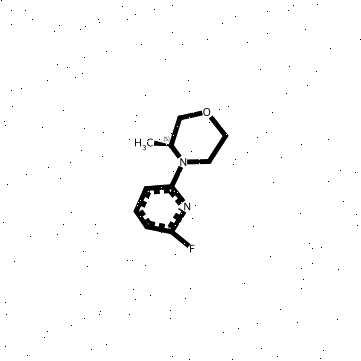 C[C@H]1COCCN1c1cccc(F)n1